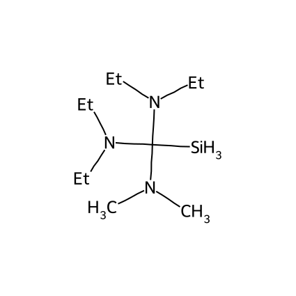 CCN(CC)C([SiH3])(N(C)C)N(CC)CC